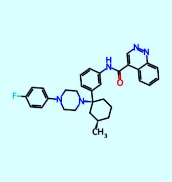 C[C@@H]1CCC[C@](c2cccc(NC(=O)c3cnnc4ccccc34)c2)(N2CCN(c3ccc(F)cc3)CC2)C1